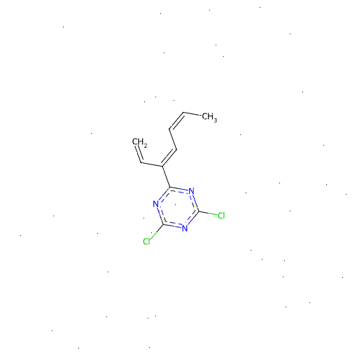 C=C/C(=C\C=C/C)c1nc(Cl)nc(Cl)n1